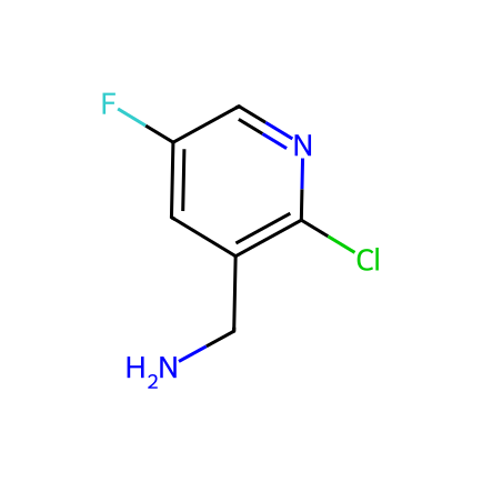 NCc1cc(F)cnc1Cl